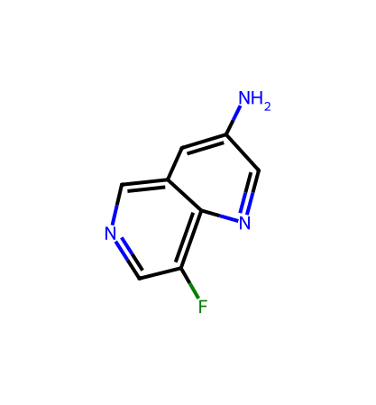 Nc1cnc2c(F)cncc2c1